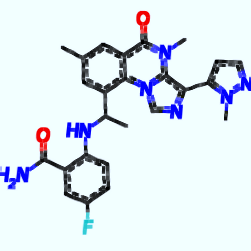 Cc1cc(C(C)Nc2ccc(F)cc2C(N)=O)c2c(c1)c(=O)n(C)c1c(-c3ccnn3C)ncn21